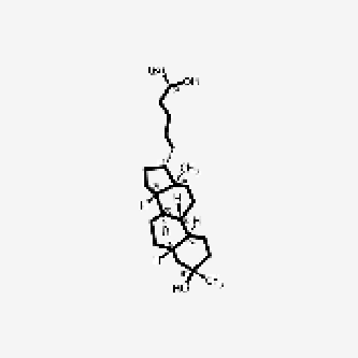 CC(C)(C)[C@@H](O)CCCC[C@H]1CC[C@H]2[C@@H]3CC[C@H]4C[C@](O)(C(F)(F)F)CC[C@@H]4[C@H]3CC[C@]12C